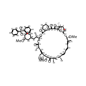 CO[C@H]1C[C@@H]2CC[C@@H](C)[C@@](O)(O2)C(=O)C(=O)N2CCCCC2C(=O)OC([C@H](C)CC2CC[C@@H](OP(=O)(c3ccccc3)c3ccccc3)[C@H](OC)C2)CC(=O)[C@H](C)/C=C(\C)[C@@H](O)[C@@H](OC)C(=O)[C@H](C)C[C@H](C)/C=C/C=C/C=C/1C